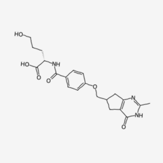 Cc1nc2c(c(=O)[nH]1)CC(COc1ccc(C(=O)N[C@@H](CCCO)C(=O)O)cc1)C2